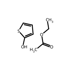 CCOC(C)=O.Oc1cccs1